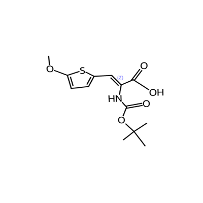 COc1ccc(/C=C(\NC(=O)OC(C)(C)C)C(=O)O)s1